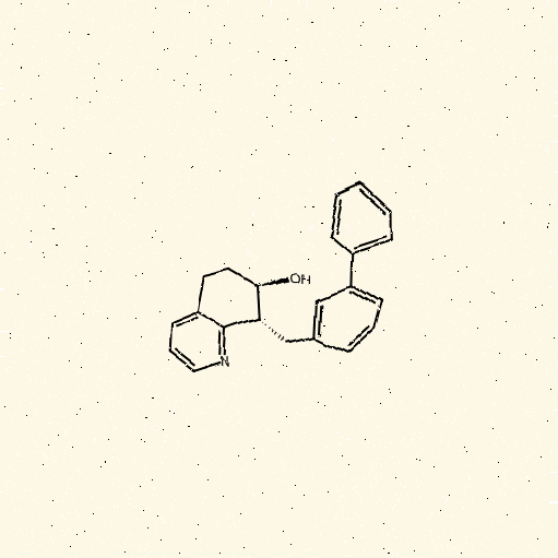 O[C@@H]1CCc2cccnc2[C@H]1Cc1cccc(-c2ccccc2)c1